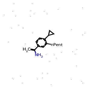 C=C(N)c1ccc(C2CC2)c(CCCCC)c1